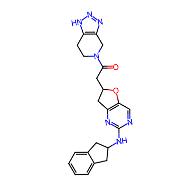 O=C(CC1Cc2nc(NC3Cc4ccccc4C3)ncc2O1)N1CCc2[nH]nnc2C1